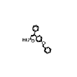 O=C(O)C=C(c1ccccc1)c1ccc(OCc2ccccc2)cc1